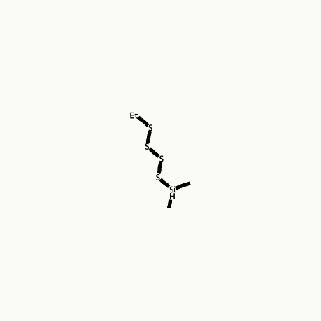 CCSSSS[SiH](C)C